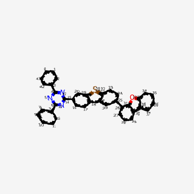 c1ccc(-c2nc(-c3ccccc3)nc(-c3ccc4c(c3)sc3ccc(-c5cccc6c5oc5ccccc56)cc34)n2)cc1